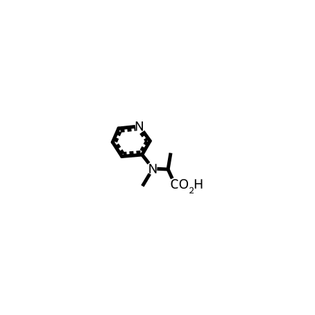 CC(C(=O)O)N(C)c1cccnc1